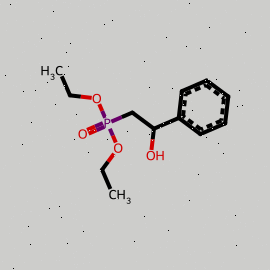 CCOP(=O)(CC(O)c1ccccc1)OCC